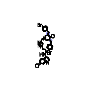 O=C1/C(=C/c2ccc(Br)cc2)CN(Cc2cn(CCCNc3ccnc4cc(Cl)ccc34)nn2)C/C1=C\c1ccc(Br)cc1